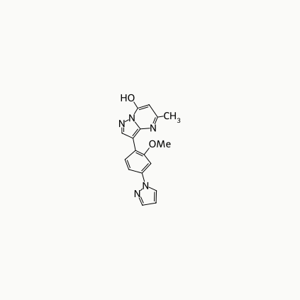 COc1cc(-n2cccn2)ccc1-c1cnn2c(O)cc(C)nc12